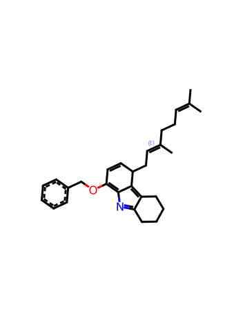 CC(C)=CCC/C(C)=C/CC1C=CC(OCc2ccccc2)=C2N=C3CCCCC3=C21